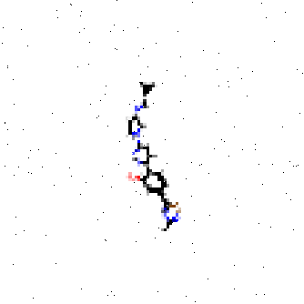 Cc1nsc(-c2ccc(-c3ccc(N4CC[C@H](NCC5CC5)C4)nn3)c(O)c2)n1